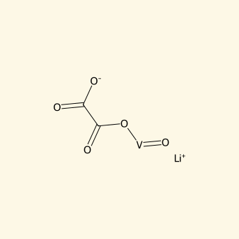 [Li+].[O]=[V][O]C(=O)C(=O)[O-]